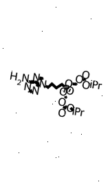 CC(C)OC(=O)OCOP(=O)(CCCCn1cnc2c(N)ncnc21)OCOC(=O)OC(C)C